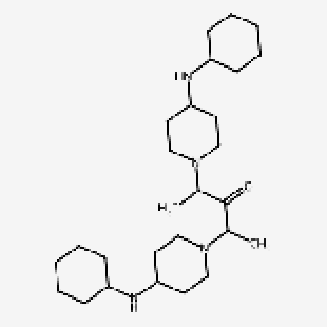 CC(C(=O)C(C)N1CCC(NC2CCCCC2)CC1)N1CCC(NC2CCCCC2)CC1